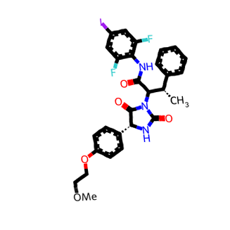 COCCOc1ccc([C@H]2NC(=O)N(C(C(=O)Nc3c(F)cc(I)cc3F)[C@@H](C)c3ccccc3)C2=O)cc1